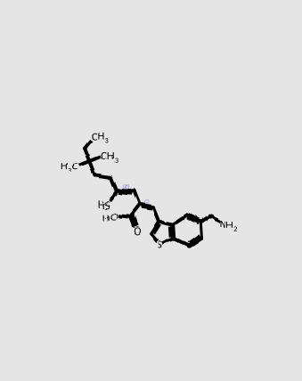 CCC(C)(C)CC/C(S)=C/C(=C/c1csc2ccc(CN)cc12)C(=O)O